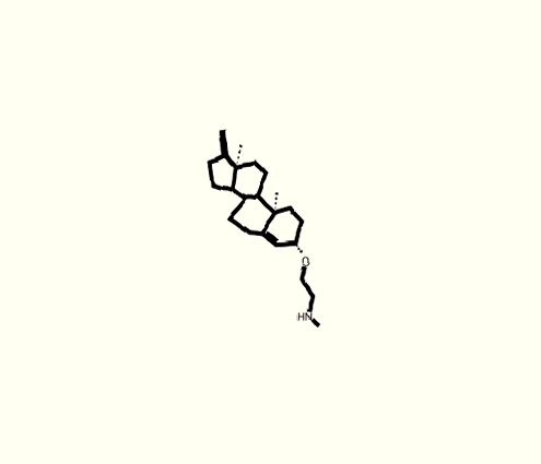 C=C1CCC2C3CCC4=C[C@@H](OCCNC)CC[C@]4(C)C3CC[C@]12C